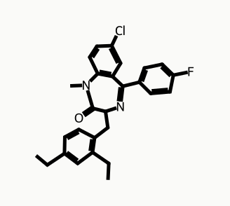 CCc1ccc(CC2N=C(c3ccc(F)cc3)c3cc(Cl)ccc3N(C)C2=O)c(CC)c1